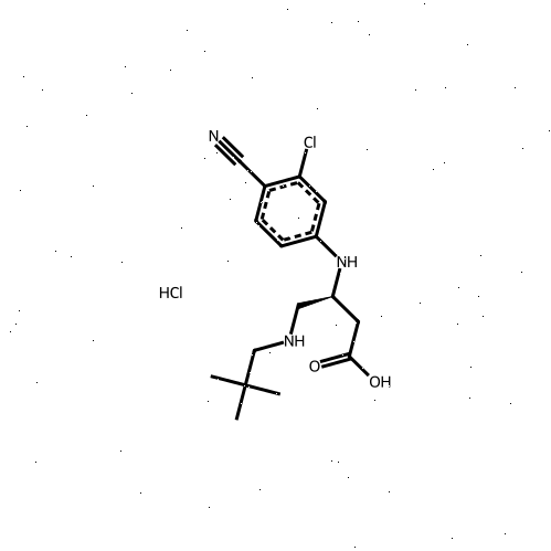 CC(C)(C)CNC[C@H](CC(=O)O)Nc1ccc(C#N)c(Cl)c1.Cl